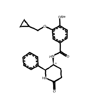 COc1ccc(C(=O)N[C@H]2CCC(=O)NC2c2ccccc2)cc1OCC1CC1